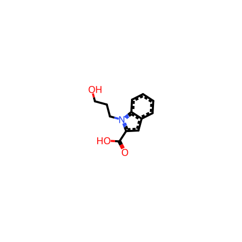 O=C(O)c1cc2ccccc2n1CCCO